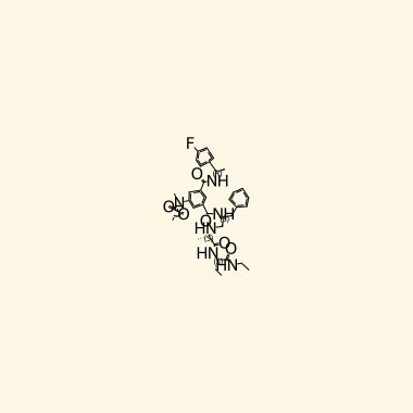 CCNC(=O)[C@H](CC)NC(=O)[C@H](C)NC[C@H](Cc1ccccc1)NC(=O)c1cc(C(=O)N[C@H](C)c2ccc(F)cc2)cc(N(C)S(C)(=O)=O)c1